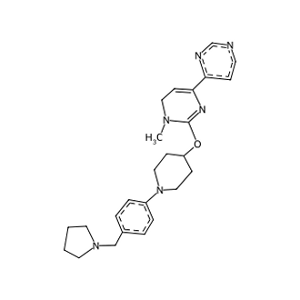 CN1CC=C(c2ccncn2)N=C1OC1CCN(c2ccc(CN3CCCC3)cc2)CC1